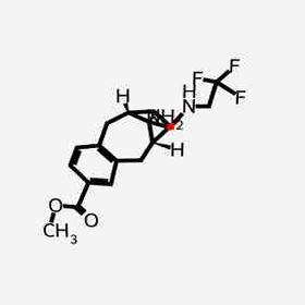 COC(=O)c1ccc2c(c1)C[C@H]1CC[C@@H](C2)[C@]1(N)CNCC(F)(F)F